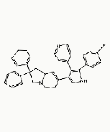 Fc1ccc(-c2[nH]cc(C3=CC4CC(c5ccccc5)(c5ccccc5)CN4CC3)c2-c2ccncc2)cc1